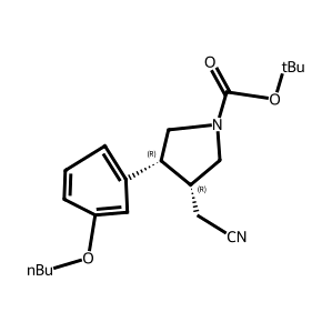 CCCCOc1cccc([C@@H]2CN(C(=O)OC(C)(C)C)C[C@@H]2CC#N)c1